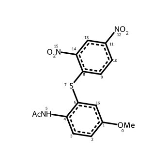 COc1ccc(NC(C)=O)c(Sc2ccc([N+](=O)[O-])cc2[N+](=O)[O-])c1